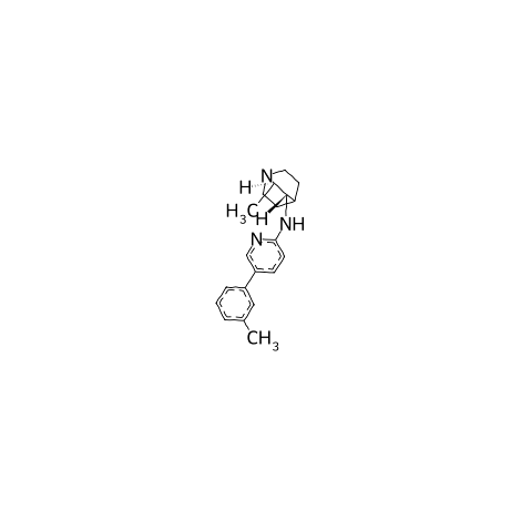 Cc1cccc(-c2ccc(N[C@H]3C4CCN(CC4)[C@@H]3C)nc2)c1